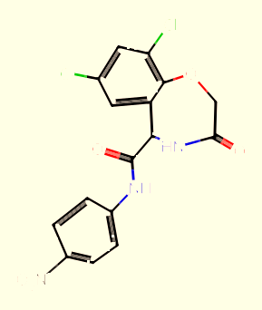 O=C1COc2c(Cl)cc(Cl)cc2C(C(=O)Nc2ccc([N+](=O)[O-])cc2)N1